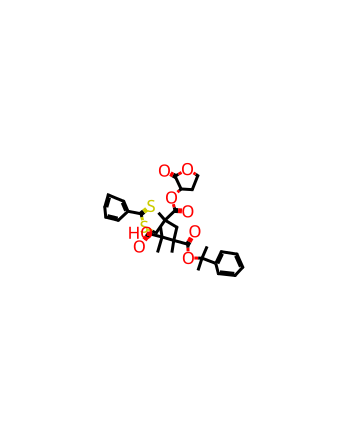 CC(CSC(=S)c1ccccc1)(CC(C)(C(=O)OC(C)(C)c1ccccc1)C(C)(C)C(=O)O)C(=O)OC1CCOC1=O